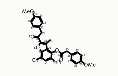 CCCc1cc(Cl)c2oc(C(=O)Cc3ccc(OC)cc3)c(C)c2c1OC(=O)Cc1ccc(OC)cc1